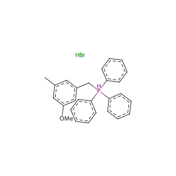 Br.COc1cc(C)cc(C[PH](c2ccccc2)(c2ccccc2)c2ccccc2)c1